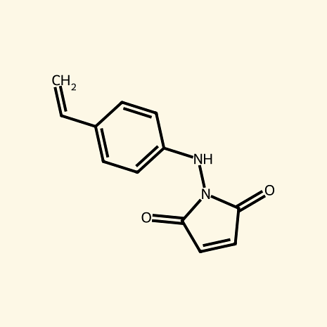 C=Cc1ccc(NN2C(=O)C=CC2=O)cc1